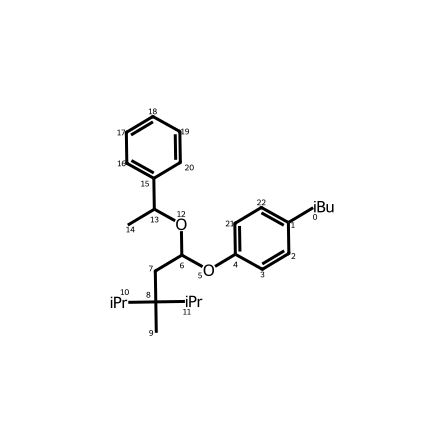 CCC(C)c1ccc(OC(CC(C)(C(C)C)C(C)C)OC(C)c2ccccc2)cc1